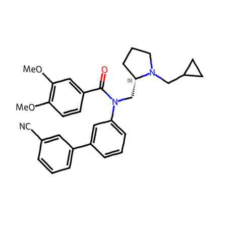 COc1ccc(C(=O)N(C[C@@H]2CCCN2CC2CC2)c2cccc(-c3cccc(C#N)c3)c2)cc1OC